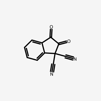 N#CC1(C#N)C(=O)C(=O)c2ccccc21